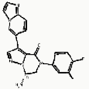 Cc1cc(N2C[C@H](N)n3ncc(-c4ccc5nccn5c4)c3C2=O)ccc1F